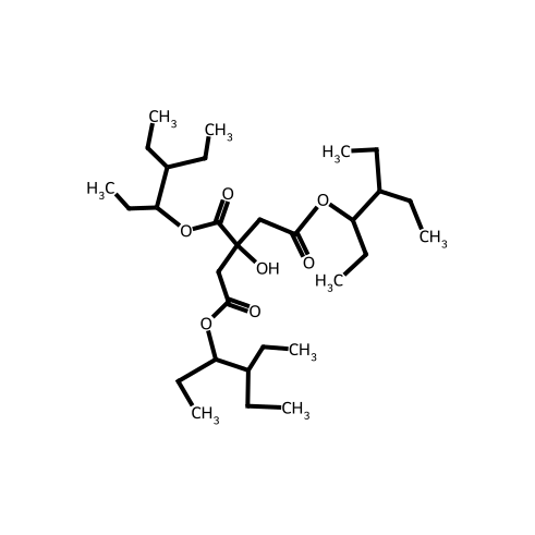 CCC(CC)C(CC)OC(=O)CC(O)(CC(=O)OC(CC)C(CC)CC)C(=O)OC(CC)C(CC)CC